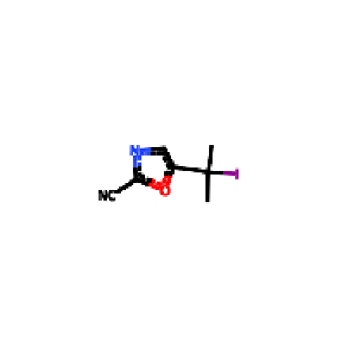 CC(C)(I)c1cnc(C#N)o1